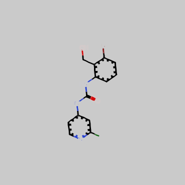 O=C(Nc1ccnc(Cl)c1)Nc1cccc(Br)c1CO